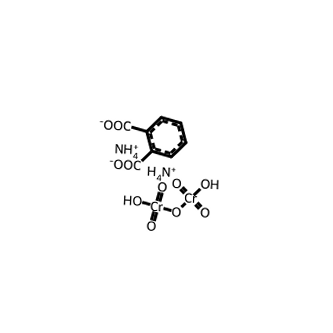 O=C([O-])c1ccccc1C(=O)[O-].[NH4+].[NH4+].[O]=[Cr](=[O])([OH])[O][Cr](=[O])(=[O])[OH]